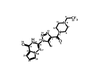 Cc1c(C(=O)N2CCN(CC(F)(F)F)CC2)nnn1-c1nn2cccc2c(=O)[nH]1